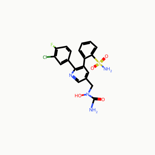 NC(=O)N(O)Cc1cnc(-c2ccc(F)c(Cl)c2)c(-c2ccccc2S(N)(=O)=O)c1